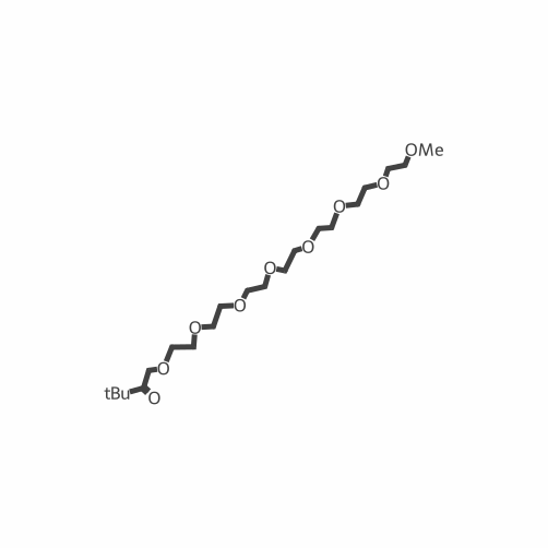 COCCOCCOCCOCCOCCOCCOCCOCC(=O)C(C)(C)C